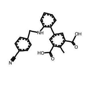 Cc1c(C(=O)O)cc(-c2ccccc2NCc2ccc(C#N)cc2)cc1C(=O)O